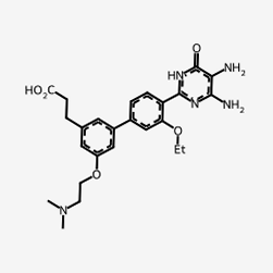 CCOc1cc(-c2cc(CCC(=O)O)cc(OCCN(C)C)c2)ccc1-c1nc(N)c(N)c(=O)[nH]1